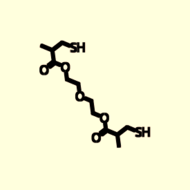 CC(CS)C(=O)OCCOCCOC(=O)C(C)CS